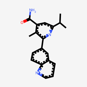 Cc1c(C(N)=O)cc(C(C)C)nc1-c1ccc2ncccc2c1